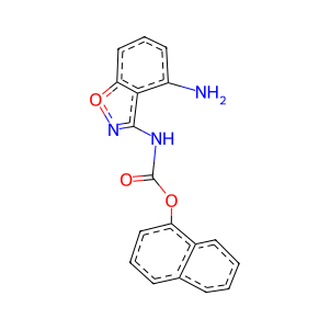 Nc1cccc2onc(NC(=O)Oc3cccc4ccccc34)c12